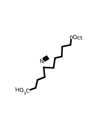 C#N.CCCCCCCCCCCCCCCCCC(=O)O